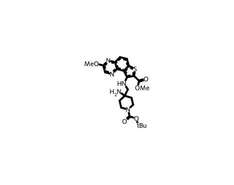 COC(=O)c1sc2ccc3nc(OC)cnc3c2c1NCC1(N)CCN(C(=O)OC(C)(C)C)CC1